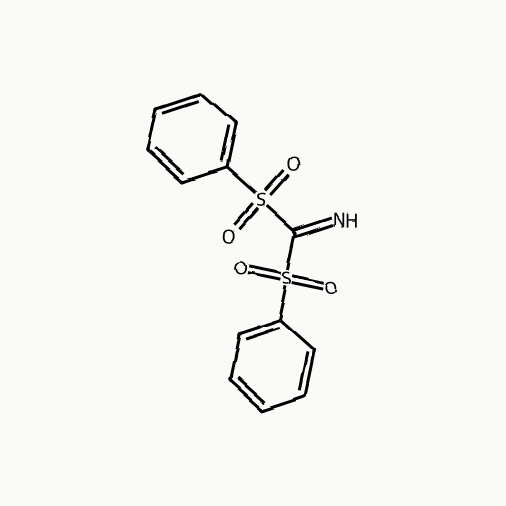 N=C(S(=O)(=O)c1ccccc1)S(=O)(=O)c1ccccc1